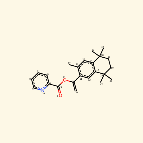 C=C(OC(=O)c1ccccn1)c1cc2c(cc1C)C(C)(C)CCC2(C)C